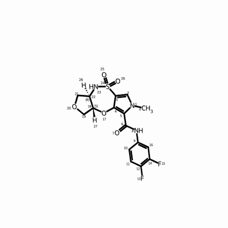 Cn1cc2c(c1C(=O)Nc1ccc(F)c(F)c1)O[C@@H]1COC[C@H]1NS2(=O)=O